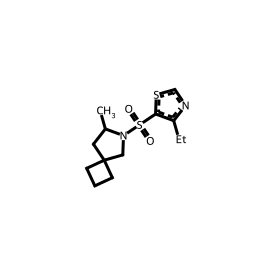 CCc1ncsc1S(=O)(=O)N1CC2(CCC2)CC1C